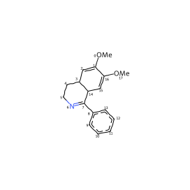 COC1=CC2CCN=C(c3ccccc3)C2C=C1OC